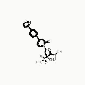 C[C@@](CCn1ccc(-c2ccc(-c3ccon3)cc2)cc1=O)(C(=O)NO)S(C)(=O)=O